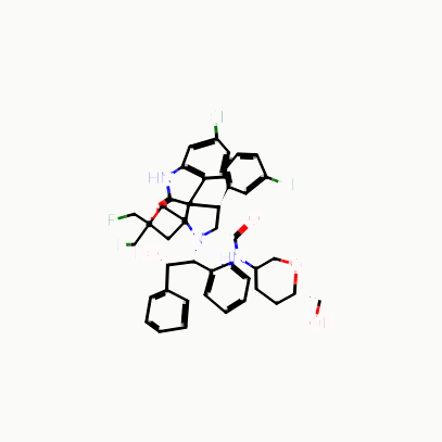 O=C(NC1CC[C@@H](CO)OC1)[C@H]1[C@H](c2cccc(Cl)c2)C2(C(=O)Nc3cc(Cl)ccc32)C2(CC(CF)(CF)C2)N1[C@H](c1ccccc1)[C@@H](O)c1ccccc1